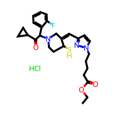 CCOC(=O)CCCCn1ccc(/C=C2/CN(C(C(=O)C3CC3)c3ccccc3F)CCC2S)n1.Cl